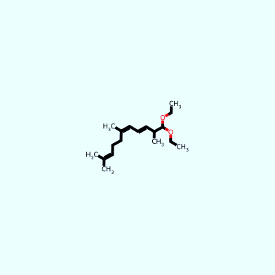 CCOC(OCC)C(C)C=CC=C(C)CCC=C(C)C